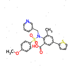 COc1ccc(S(=O)(=O)N(Cc2cccnc2)c2c(C)cc(-c3cccs3)cc2C(=O)O)cc1